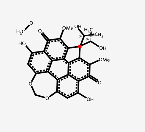 COc1c(C[C@H](C)O)c2c3c(C[C@H](C)O)c(OC)c(=O)c4c(O)cc5c(c6c(cc(O)c(c1=O)c62)OCO5)c43.C[O]